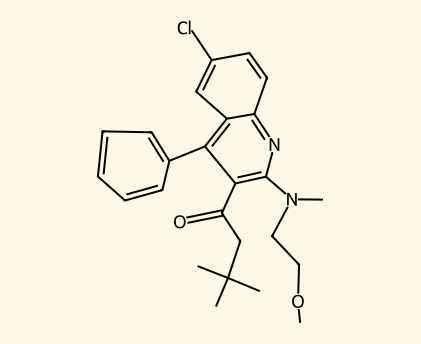 COCCN(C)c1nc2ccc(Cl)cc2c(-c2ccccc2)c1C(=O)CC(C)(C)C